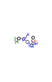 CN(C)CCn1cc(-c2ccc(F)c(C(F)(F)F)c2)nc1C1CCN(c2ncnc3c2/C(=C/c2ccccc2)C(=O)N3)CC1